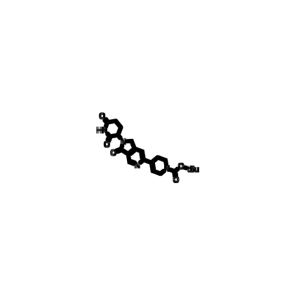 CC(C)(C)OC(=O)N1CC=C(c2cc3c(cn2)C(=O)N(C2CCC(=O)NC2=O)C3)CC1